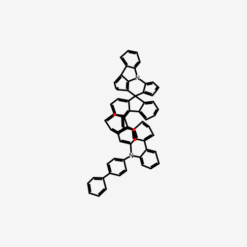 c1ccc(-c2ccc(N(c3ccc(-c4cccc5c4-c4ccccc4C54c5ccccc5-n5c6ccccc6c6cccc4c65)cc3)c3ccccc3-c3cccc(-c4ccccc4)c3)cc2)cc1